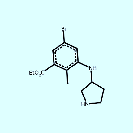 CCOC(=O)c1cc(Br)cc(NC2CCNC2)c1C